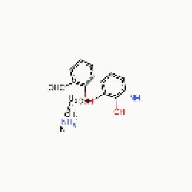 C=C.N.N.O=Cc1ccccc1O.O=Cc1ccccc1O.[Ni]